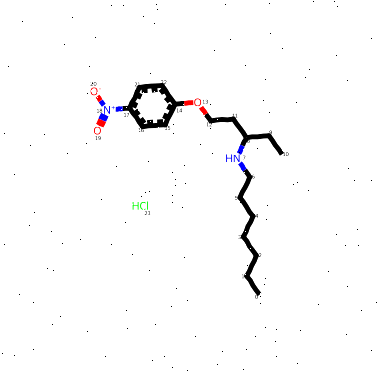 CCCCCCCNC(CC)CCOc1ccc([N+](=O)[O-])cc1.Cl